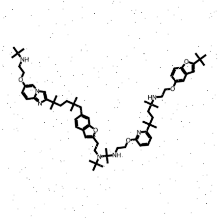 CC(C)(CCC(C)(C)c1cn2cc(OCCNC(C)(C)C)ccc2n1)Cc1ccc2cc(CCN(C(C)(C)C)C(C)(C)NCCOc3cccc(C(C)(C)CCC(C)(C)NCCOc4ccc5oc(C(C)(C)C)cc5c4)n3)oc2c1